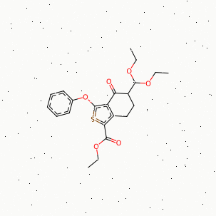 CCOC(=O)c1sc(Oc2ccccc2)c2c1CCC(C(OCC)OCC)C2=O